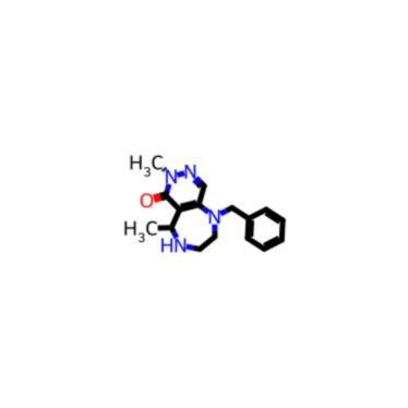 CC1NCCN(Cc2ccccc2)c2cnn(C)c(=O)c21